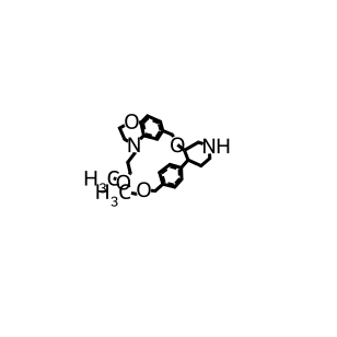 CCOCc1ccc(C2CCNCC2OCc2ccc3c(c2)N(CCCOC)CCO3)cc1